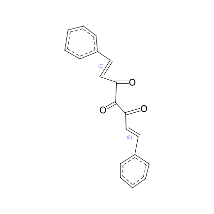 O=C(/C=C/c1ccccc1)C(=O)C(=O)/C=C/c1ccccc1